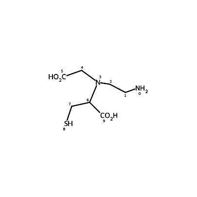 NCCN(CC(=O)O)C(CS)C(=O)O